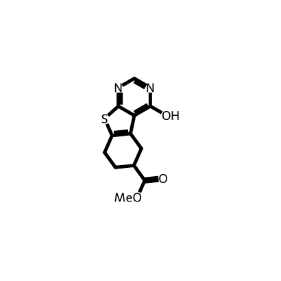 COC(=O)C1CCc2sc3ncnc(O)c3c2C1